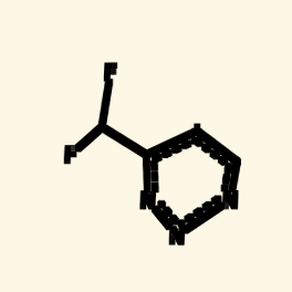 FC(F)c1[c]cnnn1